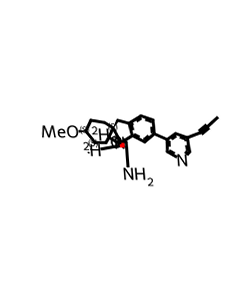 [2H]C1([2H])OC(N)=N[C@]12c1cc(-c3cncc(C#CC)c3)ccc1C[C@@]21CC[C@H](OC)[C@@H](C)C1